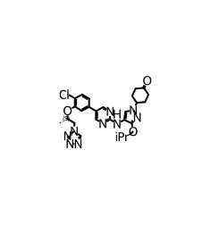 CC(C)Oc1nn(C2CCC(=O)CC2)cc1Nc1ncc(-c2ccc(Cl)c(O[C@@H](C)Cn3cnnn3)c2)cn1